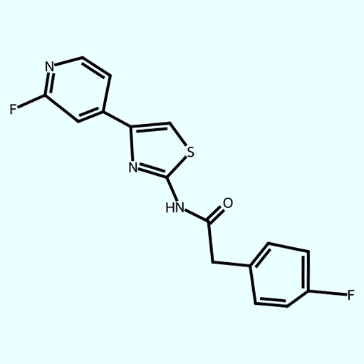 O=C(Cc1ccc(F)cc1)Nc1nc(-c2ccnc(F)c2)cs1